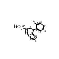 O=C(O)NCC(c1ncco1)c1ccccc1I